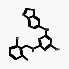 Cc1cccc(Cl)c1CNc1nc(O)nc(Nc2ccc3ncsc3c2)n1